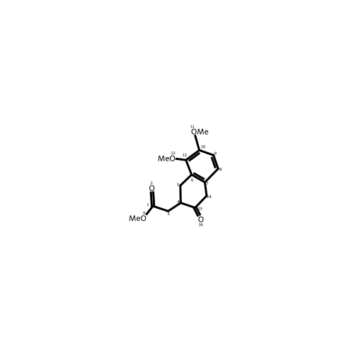 COC(=O)CC1Cc2c(ccc(OC)c2OC)CC1=O